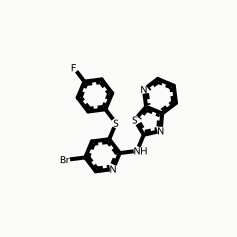 Fc1ccc(Sc2cc(Br)cnc2Nc2nc3cccnc3s2)cc1